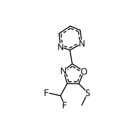 CSc1oc(-c2ncccn2)nc1C(F)F